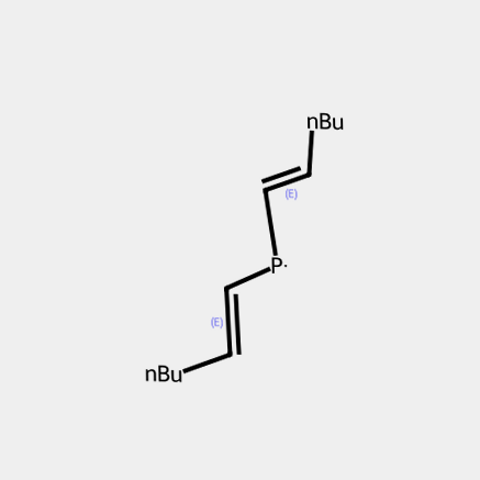 CCCC/C=C/[P]/C=C/CCCC